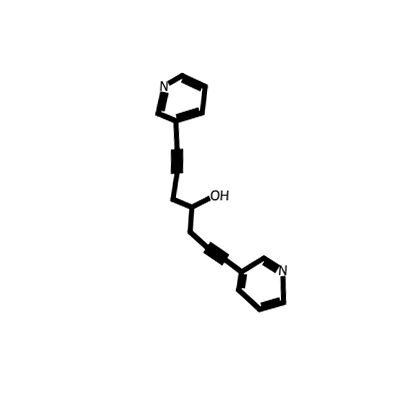 OC(CC#Cc1cccnc1)CC#Cc1cccnc1